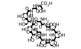 N[C@@H](CO)C(=O)NCC(=O)N[C@@H](CO)C(=O)N[C@@H](CO)C(=O)N[C@@H](CO)C(=O)N[C@@H](CO)C(=O)NCC(=O)N[C@@H](CO)C(=O)N[C@@H](CO)C(=O)N[C@@H](CO)C(=O)N[C@@H](CO)C(=O)NCC(=O)N[C@@H](CO)C(=O)O